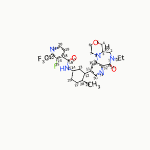 CCN1C[C@@H]2COCCN2c2cc(C3CC(NC(=O)c4ccnc(C(F)(F)F)c4F)CC[C@@H]3C)cnc2C1=O